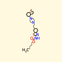 CCCCCOC(=O)Nc1nc2ccc(CCN3CCN(c4cccc5sccc45)CC3)cc2s1